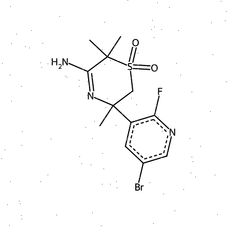 CC1(c2cc(Br)cnc2F)CS(=O)(=O)C(C)(C)C(N)=N1